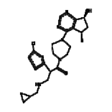 C[C@@H]1C[C@H](O)c2ncnc(N3CCN(C(=O)C(CNCC4CC4)c4ccc(Cl)s4)CC3)c21